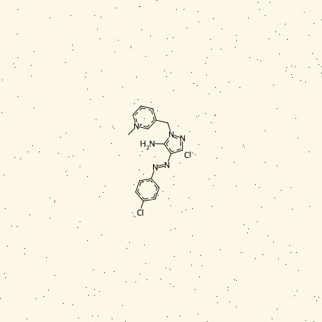 C[n+]1cccc(Cn2ncc(N=Nc3ccc(Cl)cc3)c2N)c1.[Cl-]